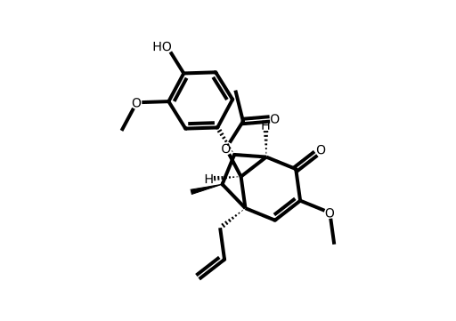 C=CC[C@]12C=C(OC)C(=O)[C@H]([C@@H](c3ccc(O)c(OC)c3)[C@@H]1C)[C@@H]2OC(C)=O